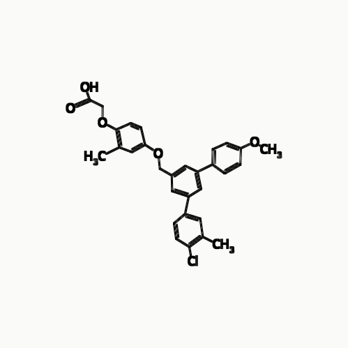 COc1ccc(-c2cc(COc3ccc(OCC(=O)O)c(C)c3)cc(-c3ccc(Cl)c(C)c3)c2)cc1